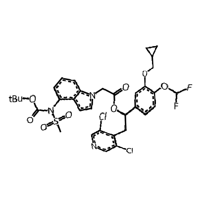 CC(C)(C)OC(=O)N(c1cccc2c1ccn2CC(=O)OC(Cc1c(Cl)cncc1Cl)c1ccc(OC(F)F)c(OCC2CC2)c1)S(C)(=O)=O